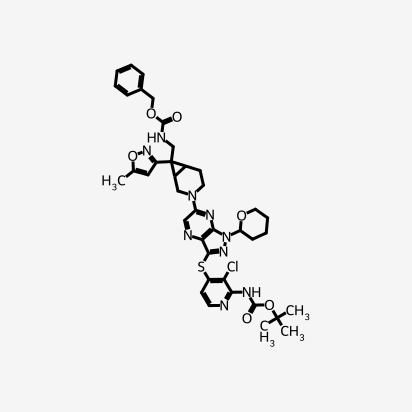 Cc1cc(C2(CNC(=O)OCc3ccccc3)C3CCN(c4cnc5c(Sc6ccnc(NC(=O)OC(C)(C)C)c6Cl)nn(C6CCCCO6)c5n4)CC32)no1